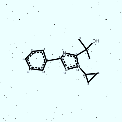 CC(C)(O)c1nc(-c2c[c]cnc2)nn1C1CC1